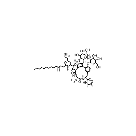 CCCCCCCCCCNCCC(=O)N[C@@H](CCCCN)C(=O)N(C)[C@@H]1C(=O)N[C@@H](N)C(=O)N[C@H](C(=O)N[C@@H](C)C(C)=O)Cc2ccc(OC3O[C@H](CO)[C@@H](O)[C@H](O)[C@H]3N)c(c2)-c2cc1ccc2OC1O[C@H](CO)[C@@H](O)[C@H](O)[C@H]1N